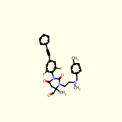 Cc1ccc(CN(C)CCN2C(=O)N(c3c(F)cc(C#Cc4ccccc4)cc3F)C(=O)CC2(C)C=O)cc1